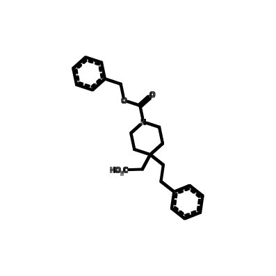 O=C(O)CC1(CCc2ccccc2)CCN(C(=O)OCc2ccccc2)CC1